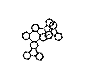 c1ccc2c(c1)-c1cc3c4ccccc4c4ccccc4c3cc1-c1ccc(-n3c4ccccc4c4ccccc43)cc1-c1c-2cccc1-n1c2ccccc2c2ccccc21